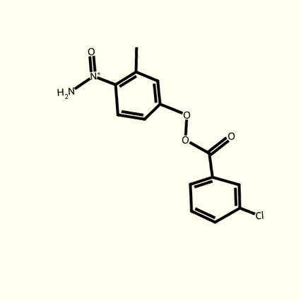 Cc1cc(OOC(=O)c2cccc(Cl)c2)ccc1[N+](N)=O